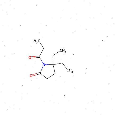 CCC(=O)N1C(=O)CCC1(CC)CC